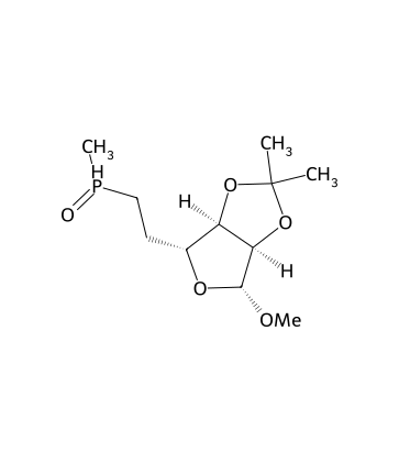 CO[C@@H]1O[C@H](CC[PH](C)=O)[C@H]2OC(C)(C)O[C@@H]12